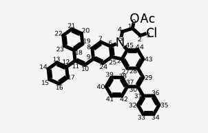 CC(=O)OC(CCl)Cn1c2ccc(C=C(c3ccccc3)c3ccccc3)cc2c2cc(C=C(c3ccccc3)c3ccccc3)ccc21